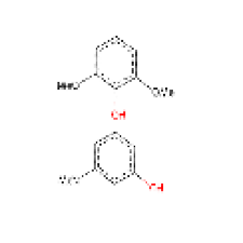 CNc1cccc(O)c1.COc1cccc(OC)c1O